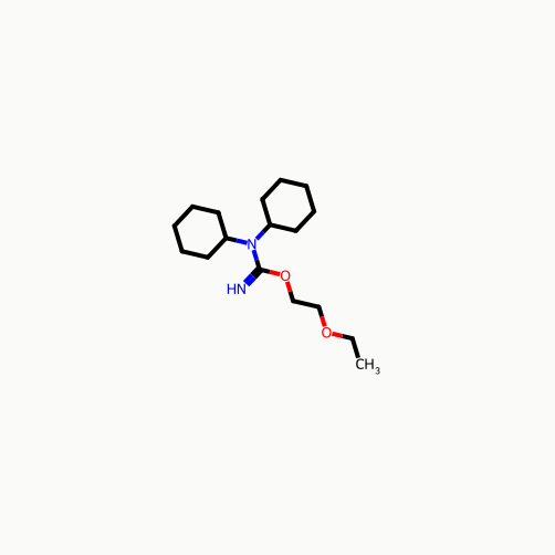 CCOCCOC(=N)N(C1CCCCC1)C1CCCCC1